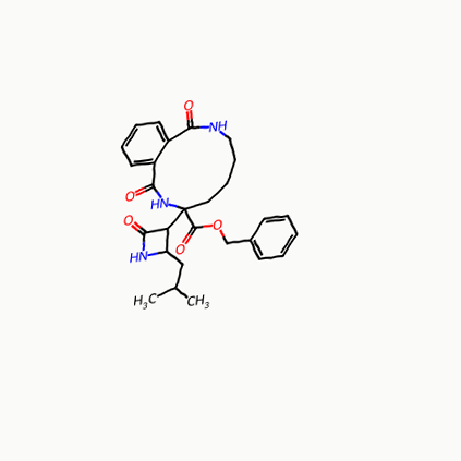 CC(C)CC1NC(=O)C1C1(C(=O)OCc2ccccc2)CCCCNC(=O)c2ccccc2C(=O)N1